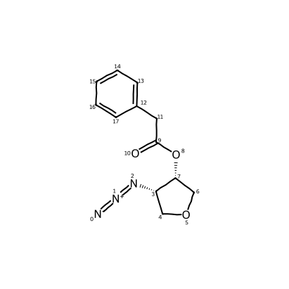 [N-]=[N+]=N[C@H]1COC[C@H]1OC(=O)Cc1ccccc1